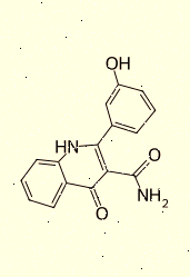 NC(=O)c1c(-c2cccc(O)c2)[nH]c2ccccc2c1=O